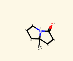 CCC12CCCN1C(=O)CC2